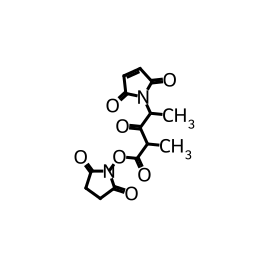 CC(C(=O)ON1C(=O)CCC1=O)C(=O)C(C)N1C(=O)C=CC1=O